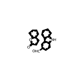 O=Cc1ccc2[nH]c3ccccc3c2c1.O=c1ccc2ccccc2o1